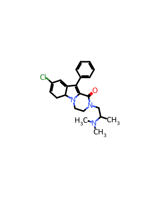 CC(CN1CCN2C(=C(c3ccccc3)C3=CC(Cl)=CCC32)C1=O)N(C)C